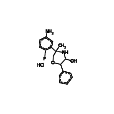 CC1(c2cc(N)ccc2F)COC(c2ccccc2)C(O)N1.Cl